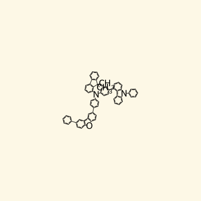 CC1(C)c2ccccc2-c2cccc(N(c3ccc(-c4ccc5oc6ccc(-c7ccccc7)cc6c5c4)cc3)c3ccc(-c4cccc5c4c4ccccc4n5-c4ccccc4)cc3)c21